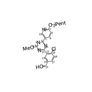 CCCC(C)Oc1ccc(-c2nc(OC)nc(-c3cc(CO)ccc3Cl)n2)cn1